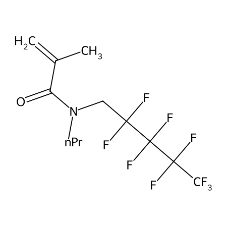 C=C(C)C(=O)N(CCC)CC(F)(F)C(F)(F)C(F)(F)C(F)(F)F